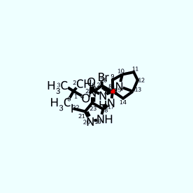 CC(C)(C)OC(=O)NC1CC2CCC(C1)N2c1nc2[nH]nc(I)c2nc1Br